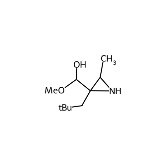 COC(O)C1(CC(C)(C)C)NC1C